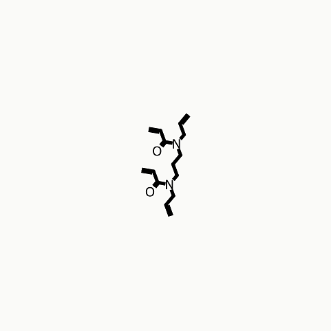 C=CCN(CCCN(CC=C)C(=O)C=C)C(=O)C=C